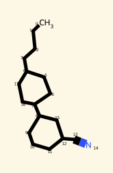 CCCCC1CCC(C2CCCC(C#N)C2)CC1